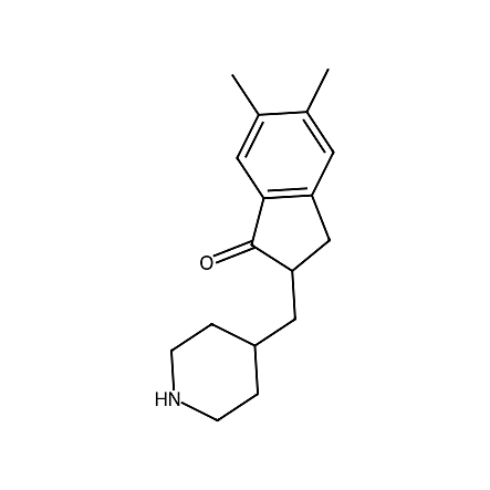 Cc1cc2c(cc1C)C(=O)C(CC1CCNCC1)C2